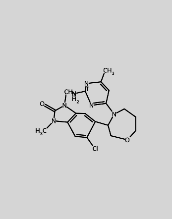 Cc1cc(N2CCCOCC2c2cc3c(cc2Cl)n(C)c(=O)n3C)nc(N)n1